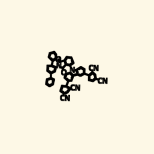 N#Cc1ccc(-c2ccc3c(c2)c2cc(-c4ccc(C#N)cc4C#N)ccc2n3-c2cccc3c2C(=O)N(c2cc(-c4ccccc4)ccc2-c2ccccc2)C3=O)c(C#N)c1